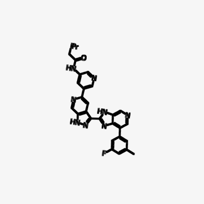 Cc1cc(F)cc(-c2cncc3[nH]c(-c4n[nH]c5cnc(-c6cncc(NC(=O)CC(C)C)c6)cc45)nc23)c1